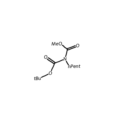 CCCCCN(C(=O)OC)C(=O)OC(C)(C)C